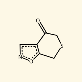 O=C1CSCc2oncc21